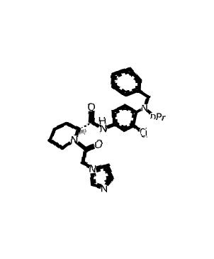 CCCN(Cc1ccccc1)c1ccc(NC(=O)[C@H]2CCCCN2C(=O)Cn2ccnc2)cc1Cl